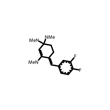 CNC1=CC(NC)(NC)CCC1=Cc1ccc(F)c(F)c1